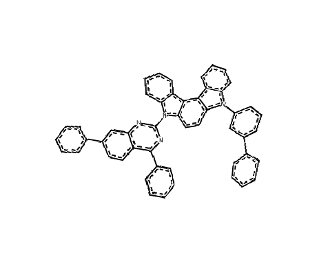 c1ccc(-c2cccc(-n3c4ccccc4c4c5c6ccccc6n(-c6nc(-c7ccccc7)c7ccc(-c8ccccc8)cc7n6)c5ccc43)c2)cc1